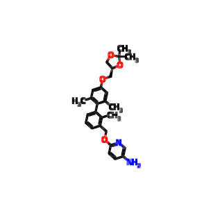 Cc1cc(OC[C@H]2COC(C)(C)O2)cc(C)c1-c1cccc(COc2ccc(N)cn2)c1C